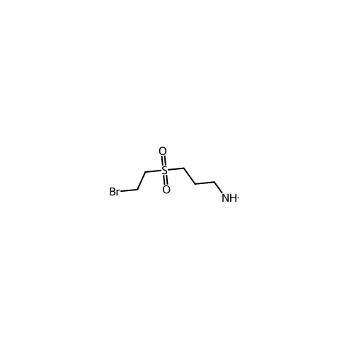 [NH]CCCS(=O)(=O)CCBr